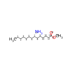 CCCCCCCCCCCCCC(=O)OC.N